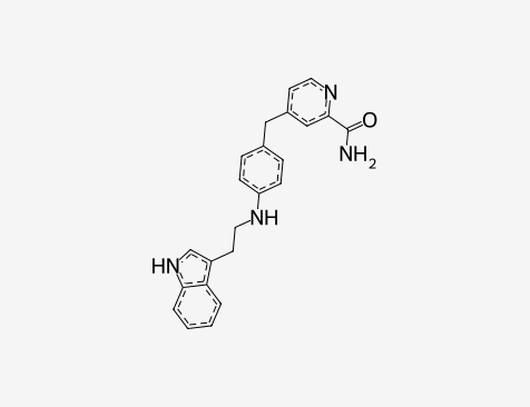 NC(=O)c1cc(Cc2ccc(NCCc3c[nH]c4ccccc34)cc2)ccn1